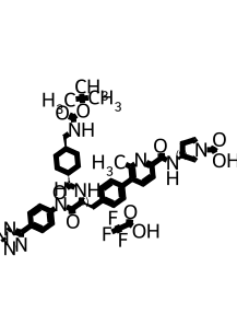 Cc1nc(C(=O)N[C@H]2CCN(C(=O)O)C2)ccc1-c1ccc(C[C@H](NC(=O)[C@H]2CC[C@H](CNC(=O)OC(C)(C)C)CC2)C(=O)Nc2ccc(-c3nn[nH]n3)cc2)cc1.O=C(O)C(F)(F)F